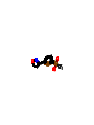 O=S(=O)(c1ccc(-c2ccon2)s1)C(F)(F)F